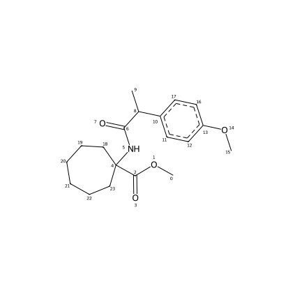 COC(=O)C1(NC(=O)C(C)c2ccc(OC)cc2)CCCCCC1